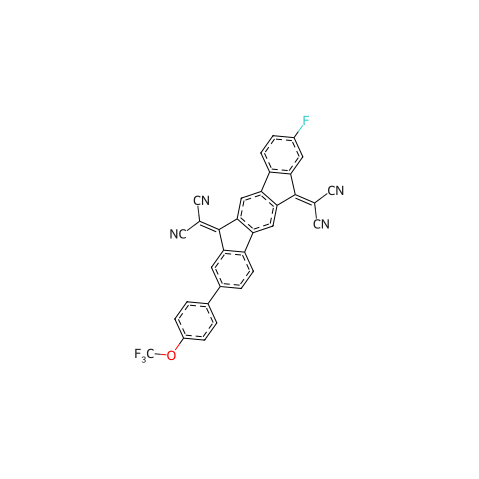 N#CC(C#N)=C1c2cc(F)ccc2-c2cc3c(cc21)-c1ccc(-c2ccc(OC(F)(F)F)cc2)cc1C3=C(C#N)C#N